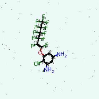 Nc1cc(N)c(Cl)c(OC(F)=C(F)C(F)(F)C(F)(F)C(F)(F)C(F)(F)F)c1